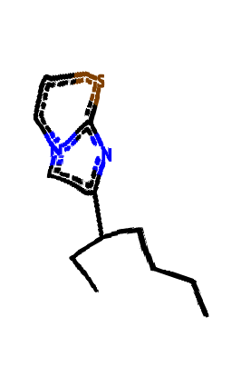 CCCCC(CC)c1cn2ccsc2n1